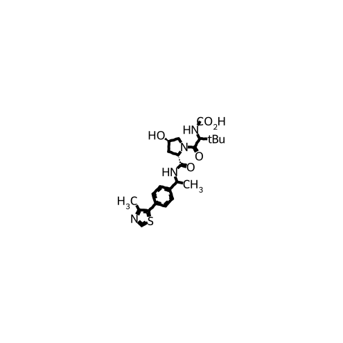 Cc1ncsc1-c1ccc(C(C)NC(=O)[C@@H]2C[C@@H](O)CN2C(=O)C(NC(=O)O)C(C)(C)C)cc1